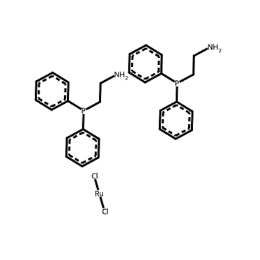 NCCP(c1ccccc1)c1ccccc1.NCCP(c1ccccc1)c1ccccc1.[Cl][Ru][Cl]